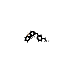 CC(C)Cc1cccc(Cc2ccc3sc4ccccc4c3c2)c1